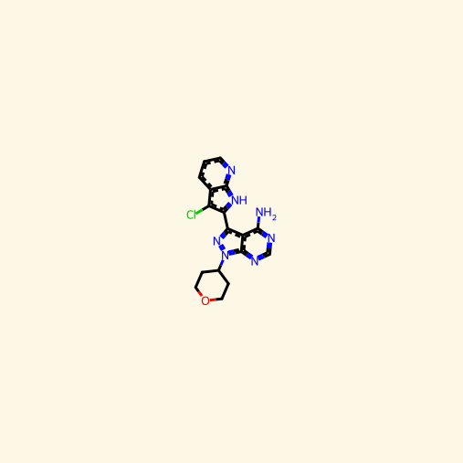 Nc1ncnc2c1c(-c1[nH]c3ncccc3c1Cl)nn2C1CCOCC1